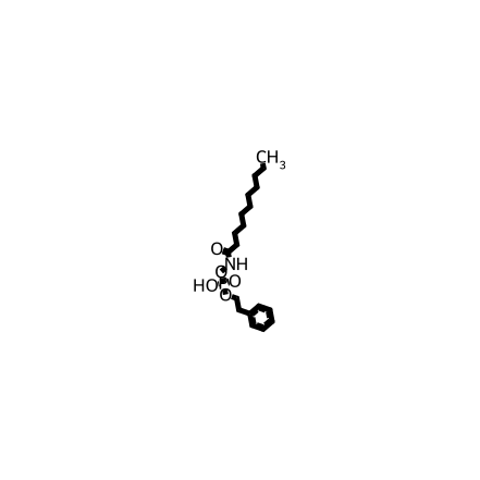 CCCCCCCCCCC(=O)NOP(=O)(O)OCCc1ccccc1